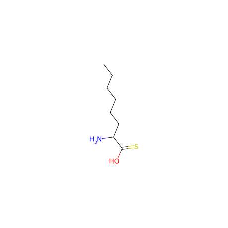 CCCCCCC(N)C(O)=S